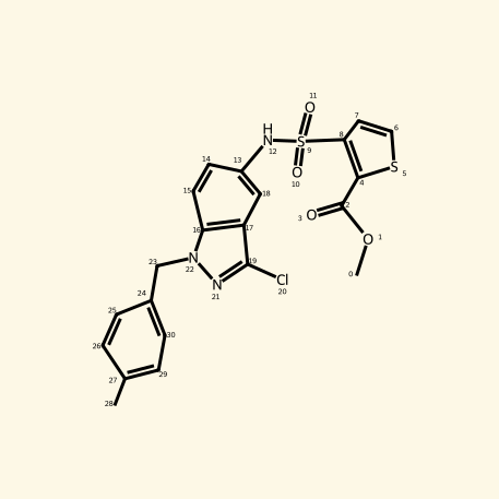 COC(=O)c1sccc1S(=O)(=O)Nc1ccc2c(c1)c(Cl)nn2Cc1ccc(C)cc1